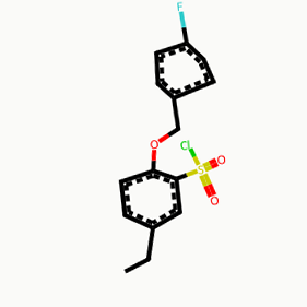 CCc1ccc(OCc2ccc(F)cc2)c(S(=O)(=O)Cl)c1